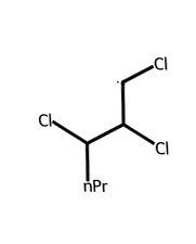 CCCC(Cl)C(Cl)[CH]Cl